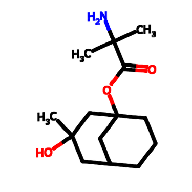 CC1(O)CC2CCCC(OC(=O)C(C)(C)N)(C2)C1